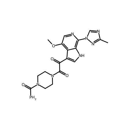 COc1cnc(-n2cnc(C)n2)c2[nH]cc(C(=O)C(=O)N3CCN(C(=O)P)CC3)c12